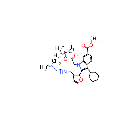 COC(=O)c1ccc2c(C3CCCCC3)c(-c3occc3CNCCN(C)C)n(CC(=O)OC(C)(C)C)c2c1